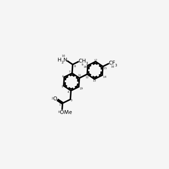 COC(=O)Cc1ccc(C(C)N)c(-c2ccc(C(F)(F)F)cc2)c1